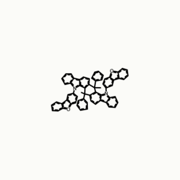 CC1(c2ccccc2)c2ccc3c4ccccc4n(-c4ccc5oc6ccccc6c5c4)c3c2C(C)(c2ccccc2)c2ccc3c4ccccc4n(-c4ccc5oc6ccccc6c5c4)c3c21